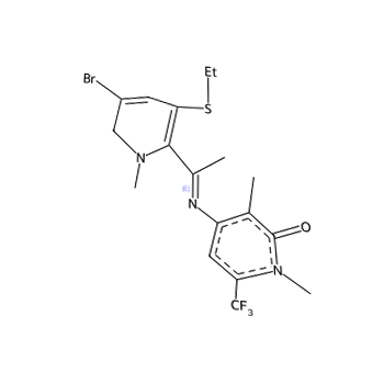 CCSC1=C(/C(C)=N/c2cc(C(F)(F)F)n(C)c(=O)c2C)N(C)CC(Br)=C1